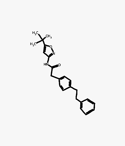 CC(C)(C)c1cc(NC(=O)Cc2ccc(CCc3ccccc3)cc2)no1